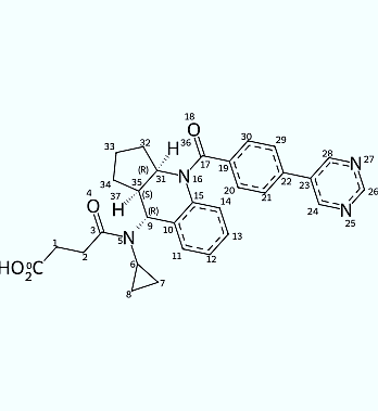 O=C(O)CCC(=O)N(C1CC1)[C@H]1c2ccccc2N(C(=O)c2ccc(-c3cncnc3)cc2)[C@@H]2CCC[C@@H]21